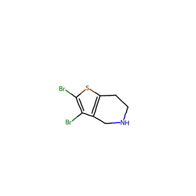 Brc1sc2c(c1Br)CNCC2